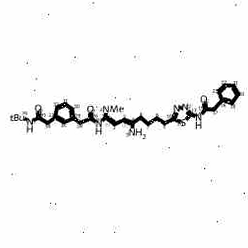 CN/C(=C\C=C(/N)CCCCc1nnc(NC(=O)Cc2ccccc2)s1)NC(=O)Cc1cccc(CC(=O)NC(C)(C)C)c1